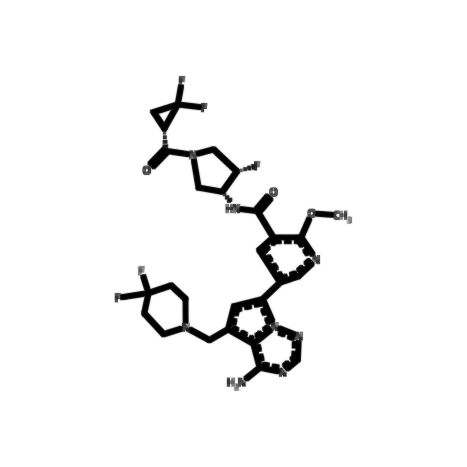 COc1ncc(-c2cc(CN3CCC(F)(F)CC3)c3c(N)ncnn23)cc1C(=O)N[C@@H]1CN(C(=O)[C@@H]2CC2(F)F)C[C@@H]1F